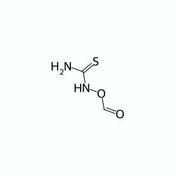 NC(=S)NOC=O